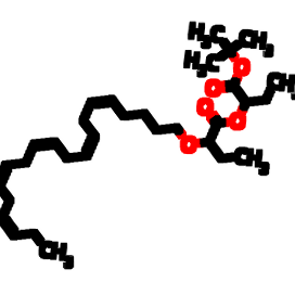 CC/C=C\C/C=C\C/C=C\C/C=C\C/C=C\CCCCOC(CC)C(=O)OC(CC)C(=O)OC(C)(C)C